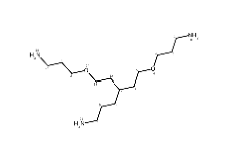 NCCCOCCC(CCCN)CCOCCCN